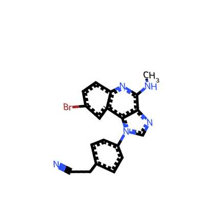 CNc1nc2ccc(Br)cc2c2c1ncn2-c1ccc(CC#N)cc1